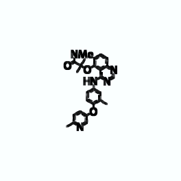 CNC(=O)C(C)(C)Oc1cccc2ncnc(Nc3ccc(Oc4ccc(C)nc4)c(C)c3)c12